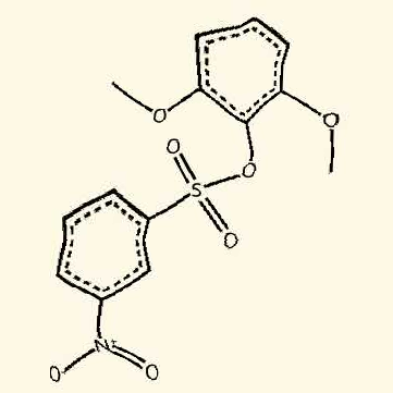 COc1cccc(OC)c1OS(=O)(=O)c1cccc([N+](=O)[O-])c1